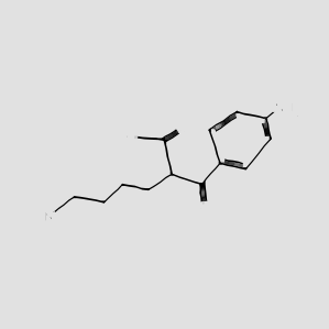 NCCCCC(C(=O)O)C(=O)c1ccc(N)cc1